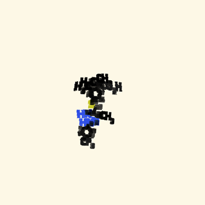 C/C(=N/Nc1ccc(C(F)(F)F)cc1)C(=N)CSc1ccc(C(C)(C)C(=O)O)c(C)c1